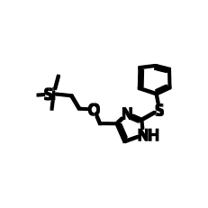 C[Si](C)(C)CCOCc1c[nH]c(Sc2ccccc2)n1